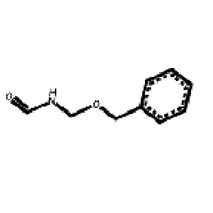 O=CN[CH]OCc1ccccc1